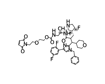 C[C@@H](CNC(=O)OCCOCCN1C(=O)C=CC1=O)NC(=O)C(C[C@@H]1CNC[C@@H]1F)C(c1nc(-c2cc(F)ccc2F)cn1Cc1ccccc1)C1CCOCC1